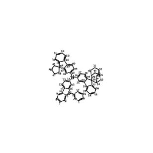 c1ccc(-n2c3ccccc3c3ccc(N(c4ccc5c(c4)-c4ccccc4C54C5CCC6CC4CC6C5)c4ccc5c(c4)C4(CCCC4)c4ccccc4-5)cc32)cc1